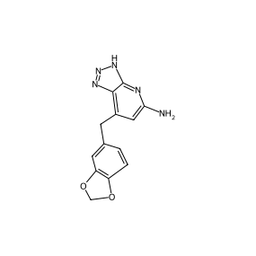 Nc1cc(Cc2ccc3c(c2)OCO3)c2nn[nH]c2n1